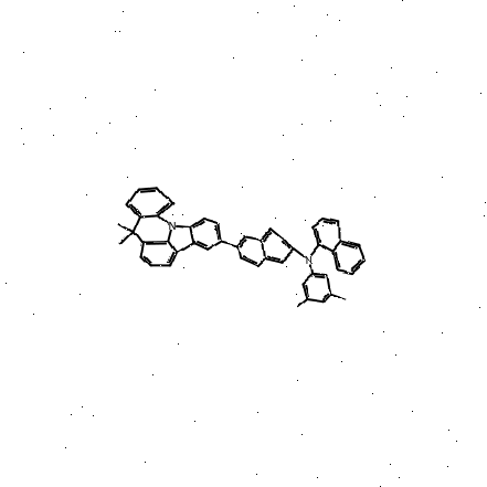 Cc1cc(C)cc(N(c2ccc3cc(-c4ccc5c(c4)c4cccc6c4n5-c4ccccc4C6(C)C)ccc3c2)c2cccc3ccccc23)c1